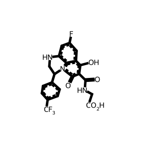 O=C(O)CNC(=O)c1c(O)c2cc(F)cc3c2n(c1=O)C(c1ccc(C(F)(F)F)cc1)CN3